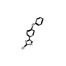 O=C1N=CC(c2ccc(Oc3ccccc3)cc2)=N1